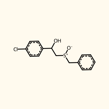 [O-][S+](Cc1ccccc1)CC(O)c1ccc(Cl)cc1